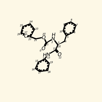 O=C(N[C@@H](Cc1ccccc1)C(=O)Nc1ccccc1)OCc1ccccc1